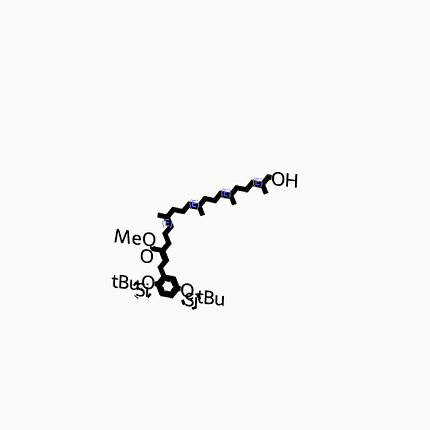 COC(=O)C(=CCc1cc(O[Si](C)(C)C(C)(C)C)ccc1O[Si](C)(C)C(C)(C)C)CC/C=C(\C)CC/C=C(\C)CC/C=C(\C)CC/C=C(\C)CO